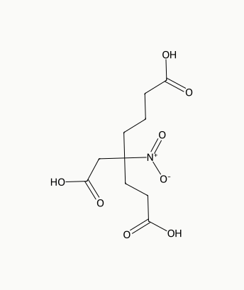 O=C(O)CCCC(CCC(=O)O)(CC(=O)O)[N+](=O)[O-]